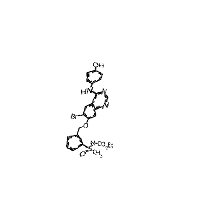 CCOC(=O)N=S(C)(=O)c1cccc(COc2cc3ncnc(Nc4ccc(O)cc4)c3cc2Br)c1